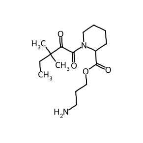 CCC(C)(C)C(=O)C(=O)N1CCCCC1C(=O)OCCCN